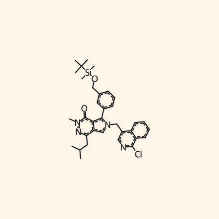 CC(C)Cc1nn(C)c(=O)c2c(-c3cccc(CO[Si](C)(C)C(C)(C)C)c3)n(Cc3cnc(Cl)c4ccccc34)cc12